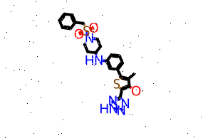 Cc1c(-c2cccc(NC3CCN(S(=O)(=O)Cc4ccccc4)CC3)c2)sc(-c2nn[nH]n2)c1[O]